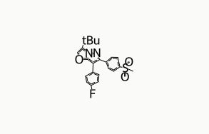 CC(C)(C)c1coc2c(-c3ccc(F)cc3)c(-c3ccc(S(C)(=O)=O)cc3)nn12